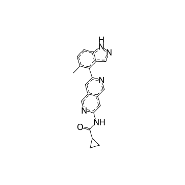 Cc1ccc2[nH]ncc2c1-c1cc2cnc(NC(=O)C3CC3)cc2cn1